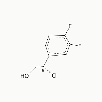 OC[C@@H](Cl)c1ccc(F)c(F)c1